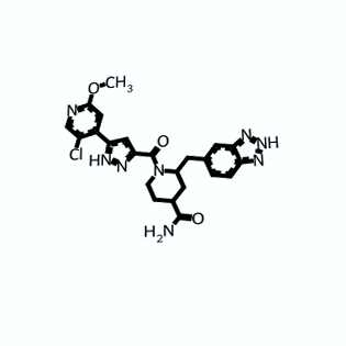 COc1cc(-c2cc(C(=O)N3CCC(C(N)=O)CC3Cc3ccc4n[nH]nc4c3)n[nH]2)c(Cl)cn1